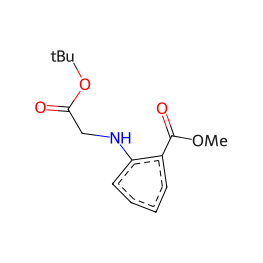 COC(=O)c1ccccc1NCC(=O)OC(C)(C)C